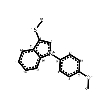 COc1ccc(-n2cc(SC)c3ccccc32)cc1